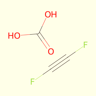 FC#CF.O=C(O)O